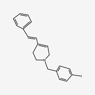 Ic1ccc(CN2CC=C(/C=C/c3ccccc3)CC2)cc1